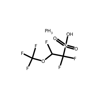 O=S(=O)(O)C(F)(F)C(F)OC(F)(F)F.P